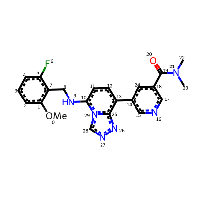 COc1cccc(F)c1CNc1ccc(-c2cncc(C(=O)N(C)C)c2)c2nncn12